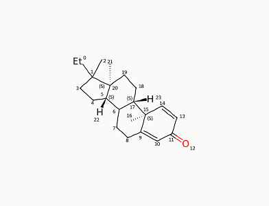 CCC1(C)CC[C@H]2C3CCC4=CC(=O)C=C[C@]4(C)[C@H]3CC[C@@]21C